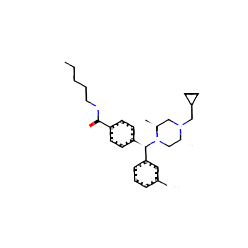 CCOC(=O)CCCCNC(=O)c1ccc([C@H](c2cccc(OC)c2)N2C[C@@H](C)N(CC3CC3)C[C@@H]2C)cc1